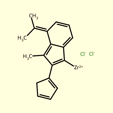 CC(C)=c1cccc2c1=C(C)C(C1=CC=CC1)=[C]2[Zr+2].[Cl-].[Cl-]